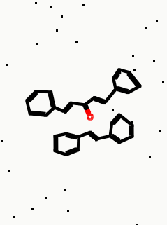 C(=Cc1ccccc1)c1ccccc1.O=C(C=Cc1ccccc1)C=Cc1ccccc1